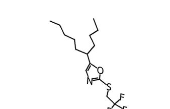 CCCCCC(CCCC)c1cnc(SCC(F)(F)F)o1